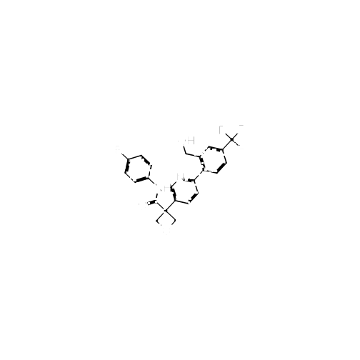 O=C(Nc1ccc(F)cc1)C1(c2ccc(-c3ccc(C(F)(F)F)cc3CO)nc2)COC1